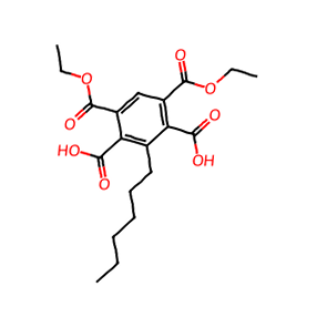 CCCCCCc1c(C(=O)O)c(C(=O)OCC)cc(C(=O)OCC)c1C(=O)O